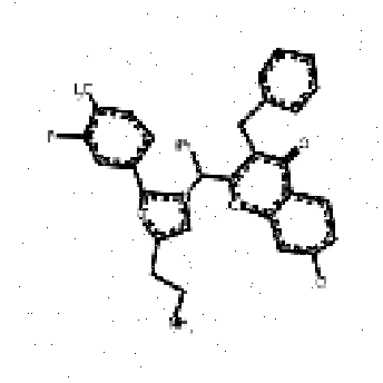 Cc1ccc(-c2nc(CCN)cn2C(c2oc3cc(Cl)ccc3c(=O)c2Cc2ccccc2)C(C)C)cc1F